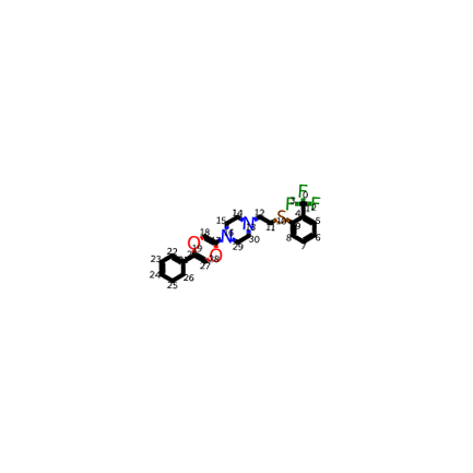 FC(F)(F)c1ccccc1SCCN1CCN(C2=COC(C3=CC=CCC3)=CO2)CC1